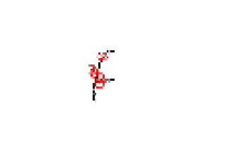 CCCCCCC(CCC(CCCCCCCC(=O)OCC(C)CCC)OC=O)OC(=O)CCCCC